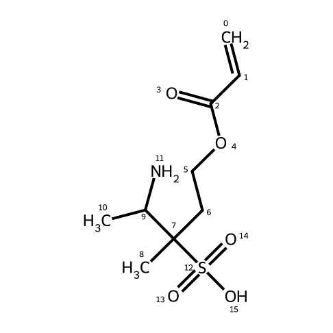 C=CC(=O)OCCC(C)(C(C)N)S(=O)(=O)O